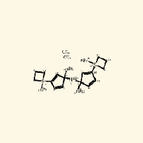 CCCC[C]1([Hf+2][C]2(CCCC)C=CC([Si]3(CCC)CCC3)=C2)C=CC([Si]2(CCC)CCC2)=C1.[Cl-].[Cl-]